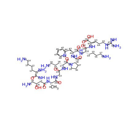 C[C@H](NC(=O)[C@@H](NC(=O)C(N)CCCCN)[C@@H](O)CN)C(=O)NCC(=O)N[C@H](CCCN)C(=O)N1CCC[C@H]1C(=O)N[C@@H](Cc1ccccn1)C(=O)N[C@@H](CCCCN)C(=O)N/C(=C\CCNC(=N)N)C(=O)O